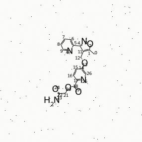 Cc1onc(-c2ccccn2)c1COc1ccc(C(=O)OCC(N)=O)nc1